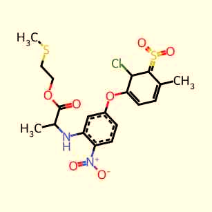 CSCCOC(=O)C(C)Nc1cc(OC2=CC=C(C)C(=S(=O)=O)C2Cl)ccc1[N+](=O)[O-]